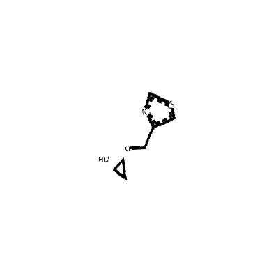 C1CC1.Cl.ClCc1cscn1